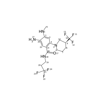 CNc1cc(N2CCC[C@H](C(F)(F)F)C2)c(C(=O)NCCC(F)(F)F)cc1N